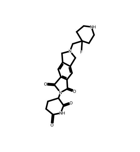 O=C1CCC(N2C(=O)c3cc4c(cc3C2=O)CN(CC2(F)CCNCC2)C4)C(=O)N1